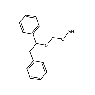 [SiH3]OCOC(Cc1ccccc1)c1ccccc1